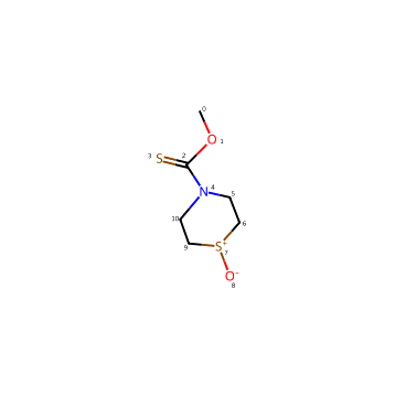 COC(=S)N1CC[S+]([O-])CC1